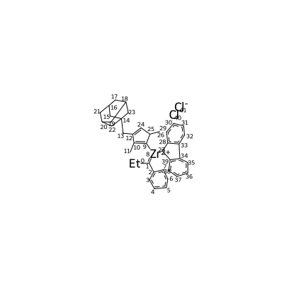 CC/[C](c1ccccc1)=[Zr+2](\[C]1=C(C)C(CC23CC4CC(CC(C4)C2)C3)=CC1C)[CH]1c2ccccc2-c2ccccc21.[Cl-].[Cl-]